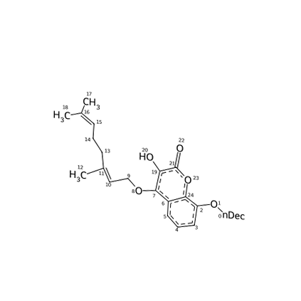 CCCCCCCCCCOc1cccc2c(OCC=C(C)CCC=C(C)C)c(O)c(=O)oc12